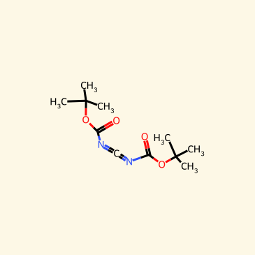 CC(C)(C)OC(=O)N=C=NC(=O)OC(C)(C)C